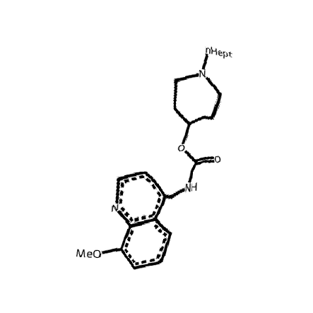 CCCCCCCN1CCC(OC(=O)Nc2ccnc3c(OC)cccc23)CC1